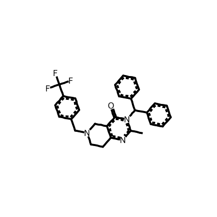 Cc1nc2c(c(=O)n1C(c1ccccc1)c1ccccc1)CN(Cc1ccc(C(F)(F)F)cc1)CC2